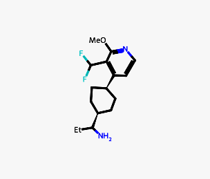 CCC(N)[C@H]1CC[C@@H](c2ccnc(OC)c2C(F)F)CC1